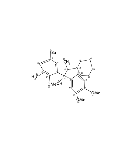 COc1ccc(C(O)(c2cc(C(C)(C)C)cc(C)c2OC)C(C)N2CCCCC2)cc1OC